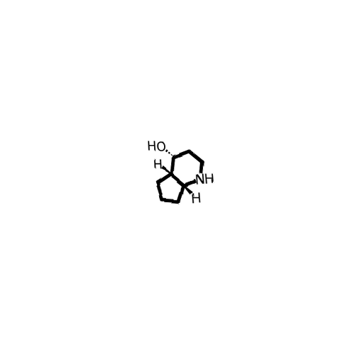 O[C@@H]1CCN[C@@H]2CCC[C@H]12